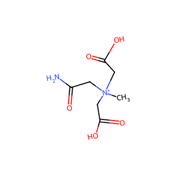 C[N+](CC(N)=O)(CC(=O)O)CC(=O)O